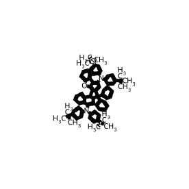 CC(C)(C)c1ccc(N(C2=CC3C(c4ccccc42)c2c(cc(N(c4ccc(C(C)(C)C)cc4)c4ccc([Si](C)(C)C)cc4)c4c2oc2ccccc24)C3(c2ccccc2)c2ccccc2)c2ccc([Si](C)(C)C)cc2)cc1